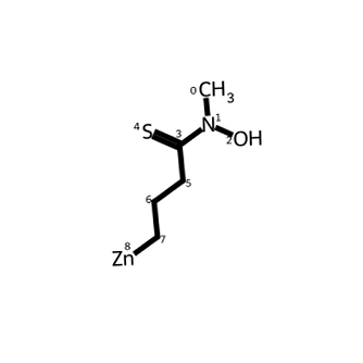 CN(O)C(=S)CC[CH2][Zn]